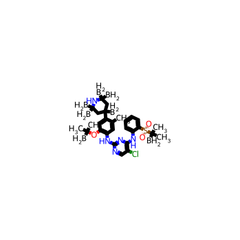 BC1(B)CC(B)(c2cc(OC(B)(C)C)c(Nc3ncc(Cl)c(Nc4ccccc4S(=O)(=O)C(B)(C)C)n3)cc2C)CC(B)(B)N1